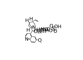 C=C[C@H]1CN2CC[C@H]1C[C@@H]2[C@@H](O)c1ccnc2ccc(OC)cc12.O.O.O.O.O=S(=O)(O)O